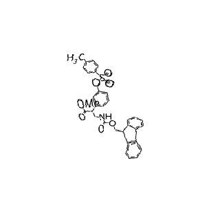 COC(=O)C(CNC(=O)OCC1c2ccccc2-c2ccccc21)c1cccc(OS(=O)(=O)c2ccc(C)cc2)c1